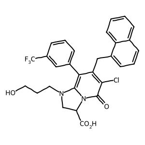 O=C(O)C1CN(CCCO)c2c(-c3cccc(C(F)(F)F)c3)c(Cc3cccc4ccccc34)c(Cl)c(=O)n21